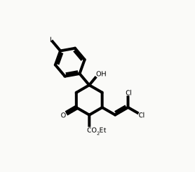 CCOC(=O)C1C(=O)CC(O)(c2ccc(I)cc2)CC1C=C(Cl)Cl